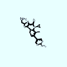 Cc1c(-c2cnc(N)nc2)ccc2c3oc(CN)nc3c(=O)n(C3CC3)c12